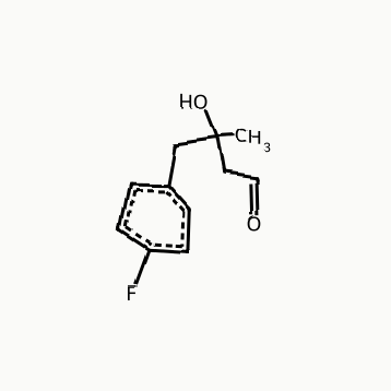 CC(O)(CC=O)Cc1ccc(F)cc1